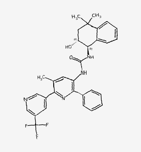 Cc1cc(NC(=O)N[C@@H]2c3ccccc3C(C)(C)C[C@H]2O)c(-c2ccccc2)nc1-c1cncc(C(F)(F)F)c1